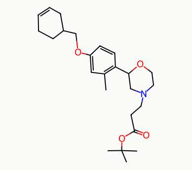 Cc1cc(OCC2CC=CCC2)ccc1C1CN(CCC(=O)OC(C)(C)C)CCO1